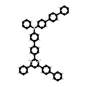 c1ccc(-c2ccc(-c3ccc(N(c4ccccc4)c4ccc(-c5ccc(-c6nc(-c7ccccc7)cc(-c7ccc(-c8ccccc8)cc7)n6)cc5)cc4)cc3)cc2)cc1